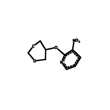 O=[N+]([O-])c1cccnc1OC1CCCOC1